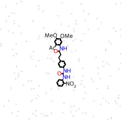 COc1cc(NC(=O)CCc2ccc(NC(=O)Nc3ccccc3[N+](=O)[O-])cc2)c(C(C)=O)cc1OC